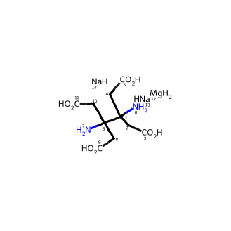 NC(CC(=O)O)(CC(=O)O)C(N)(CC(=O)O)CC(=O)O.[MgH2].[NaH].[NaH]